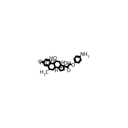 C[C@H]1C[C@H]2[C@@H]3CC[C@](O)(C(=O)COc4ccc(N)cc4)[C@H]3C[C@H](O)[C@@H]2[C@@]2(C)C=CC(=O)C=C12